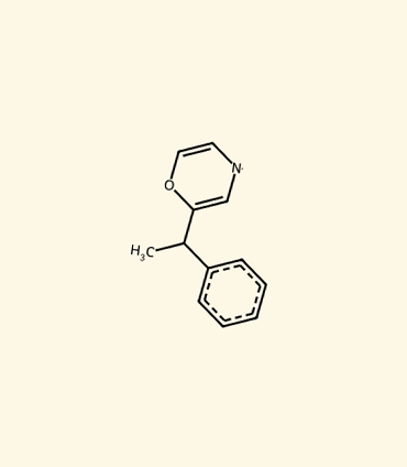 CC(C1=C[N]C=CO1)c1ccccc1